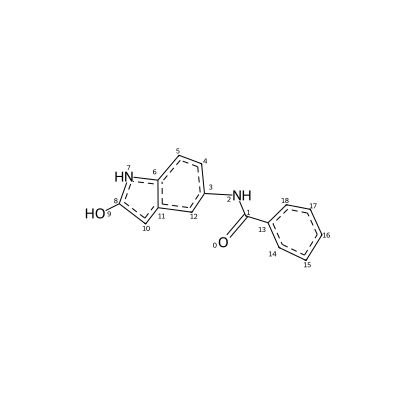 O=C(Nc1ccc2[nH]c(O)cc2c1)c1ccccc1